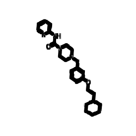 O=C(Nc1ccccn1)N1CCN(Cc2cccc(OCCC3CCCCC3)c2)CC1